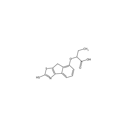 CCC(Oc1cccc2c1Cc1sc(S)nc1-2)C(=O)O